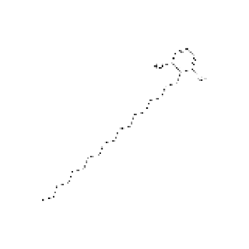 CCCCCCCCCCCCCCCCCCc1c(O)cccc1O